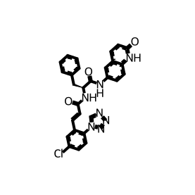 O=C(C=Cc1cc(Cl)ccc1-n1cnnn1)N[C@@H](Cc1ccccc1)C(=O)Nc1ccc2[nH]c(=O)ccc2c1